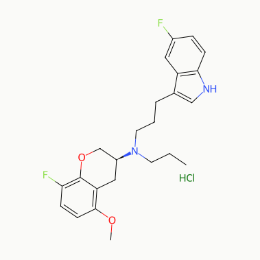 CCCN(CCCc1c[nH]c2ccc(F)cc12)[C@@H]1COc2c(F)ccc(OC)c2C1.Cl